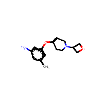 Cc1cc(N)cc(OC2CCN(C3COC3)CC2)c1